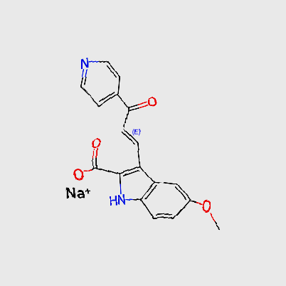 COc1ccc2[nH]c(C(=O)[O-])c(/C=C/C(=O)c3ccncc3)c2c1.[Na+]